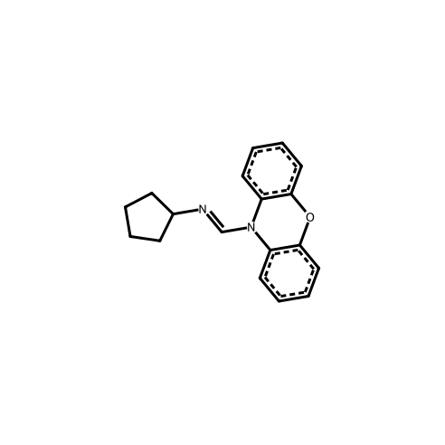 C(=N\C1CCCC1)/N1c2ccccc2Oc2ccccc21